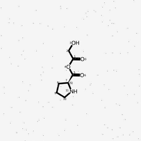 O=C(CO)OC(=O)[C@@H]1CCCN1